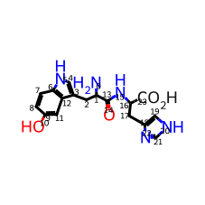 NC(Cc1c[nH]c2ccc(O)cc12)C(=O)NC(Cc1c[nH]cn1)C(=O)O